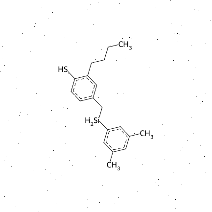 CCCCc1cc(C[SiH2]c2cc(C)cc(C)c2)ccc1S